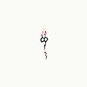 CCCCC(=O)OCC#Cc1ccc2c3c(cccc13)C(=O)N(OS(C)(=O)=O)C2=O